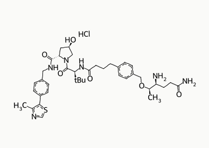 Cc1ncsc1-c1ccc(CNC(=O)[C@@H]2C[C@@H](O)CN2C(=O)[C@@H](NC(=O)CCCc2ccc(CO[C@H](C)[C@@H](N)CCC(N)=O)cc2)C(C)(C)C)cc1.Cl